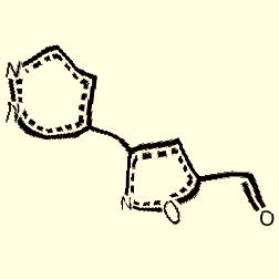 O=Cc1cc(-c2ccnnc2)no1